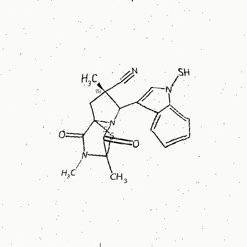 CN1C(=O)C23C[C@](C)(C#N)C(c4cn(S)c5ccccc45)N2C(=O)C1(C)SS3